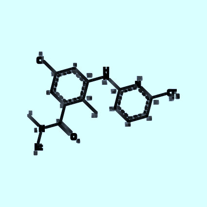 CCN(C)C(=O)c1cc(Cl)cc(Nc2cccc(C(F)(F)F)n2)c1C